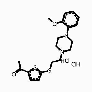 COc1ccccc1N1CCN(CCSc2ccc(C(C)=O)s2)CC1.Cl.Cl